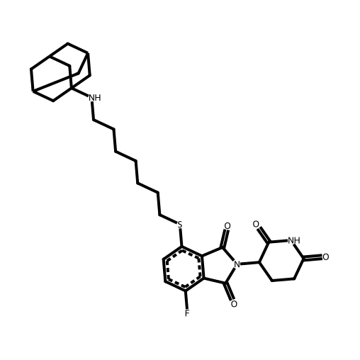 O=C1CCC(N2C(=O)c3c(F)ccc(SCCCCCCCNC45CC6CC(CC(C6)C4)C5)c3C2=O)C(=O)N1